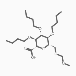 CCCCO[C@@H]1[C@@H](OCCCC)[C@H](COCOC)O[C@H](C(=O)O)[C@H]1OCCCC